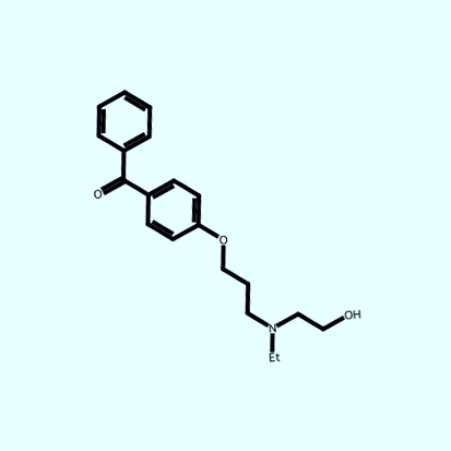 CCN(CCO)CCCOc1ccc(C(=O)c2ccccc2)cc1